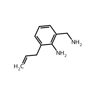 C=CCc1cccc(CN)c1N